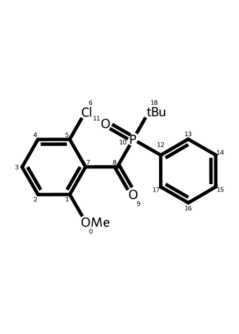 COc1cccc(Cl)c1C(=O)P(=O)(c1ccccc1)C(C)(C)C